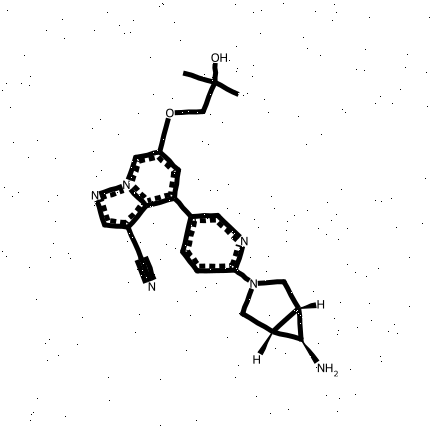 CC(C)(O)COc1cc(-c2ccc(N3C[C@@H]4[C@@H](N)[C@@H]4C3)nc2)c2c(C#N)cnn2c1